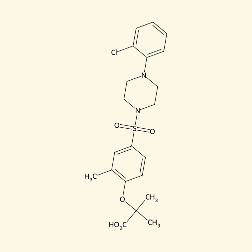 Cc1cc(S(=O)(=O)N2CCN(c3ccccc3Cl)CC2)ccc1OC(C)(C)C(=O)O